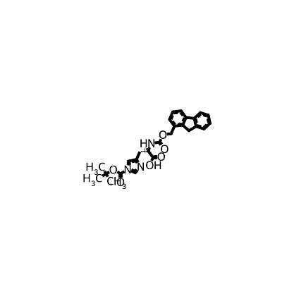 CC(C)(C)OC(=O)n1cnc(C[C@H](NC(=O)OCc2cccc3c2Cc2ccccc2-3)C(=O)O)c1